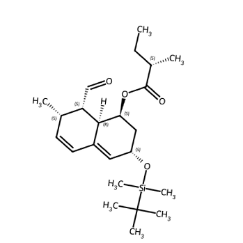 CC[C@H](C)C(=O)O[C@H]1C[C@H](O[Si](C)(C)C(C)(C)C)C=C2C=C[C@H](C)[C@H](C=O)[C@H]21